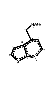 CNCc1ccnc2sccc12